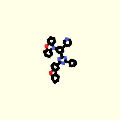 c1ccc(-c2nc(-c3cc(-c4cccnc4)cc(N4c5ccccc5Oc5ccccc54)c3)nc(-c3ccc4oc5ccccc5c4c3)n2)cc1